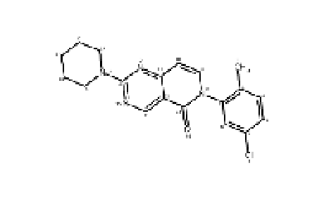 Cc1ccc(Cl)cc1-n1ccc2nc(N3CCCCC3)ncc2c1=O